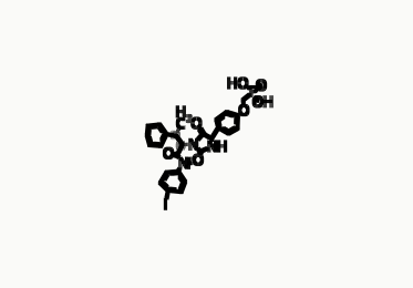 C[C@@H](c1ccccc1)[C@@H](C(=O)N(F)c1ccc(I)cc1)N1C(=O)NC(c2ccc(OCP(=O)(O)O)cc2)C1=O